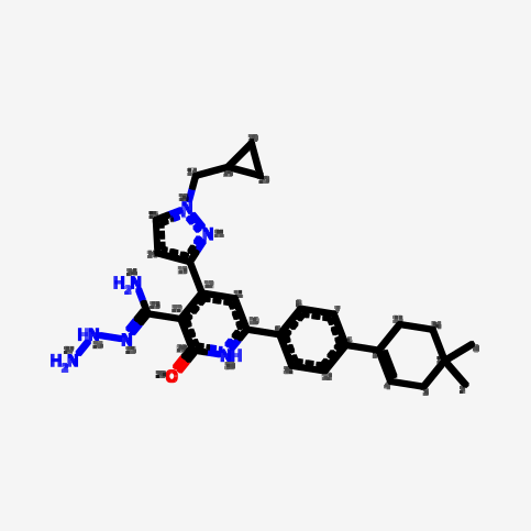 CC1(C)CC=C(c2ccc(-c3cc(-c4ccn(CC5CC5)n4)c(/C(N)=N/NN)c(=O)[nH]3)cc2)CC1